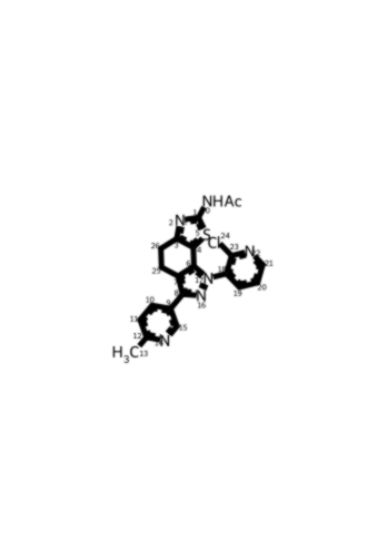 CC(=O)Nc1nc2c(s1)-c1c(c(-c3ccc(C)nc3)nn1-c1cccnc1Cl)CC2